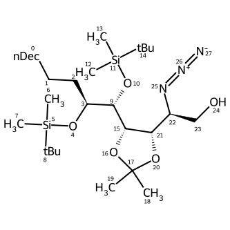 CCCCCCCCCCCC[C@H](O[Si](C)(C)C(C)(C)C)[C@H](O[Si](C)(C)C(C)(C)C)[C@H]1OC(C)(C)O[C@H]1[C@H](CO)N=[N+]=[N-]